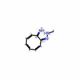 CN/N=c1/ccccccc1=N